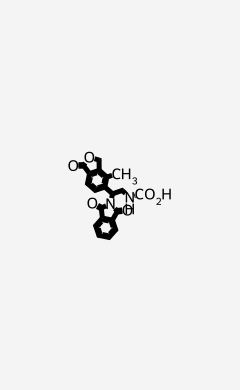 Cc1c(C(CNC(=O)O)N2C(=O)c3ccccc3C2=O)ccc2c1COC2=O